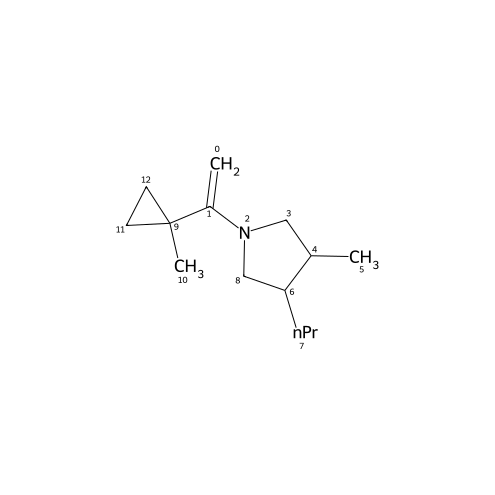 C=C(N1CC(C)C(CCC)C1)C1(C)CC1